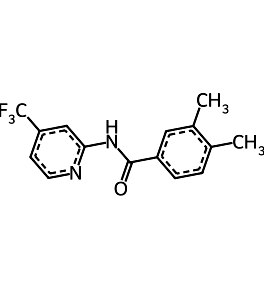 Cc1ccc(C(=O)Nc2cc(C(F)(F)F)ccn2)cc1C